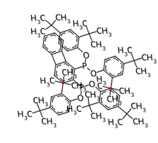 CC(C)(C)c1ccc(OP(Oc2ccc(C(C)(C)C)cc2C(C)(C)C)c2ccc3c(c2P(Oc2ccc(C(C)(C)C)cc2C(C)(C)C)Oc2ccc(C(C)(C)C)cc2C(C)(C)C)-c2ccccc2-3)c(C(C)(C)C)c1